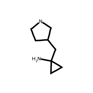 NC1(CC2CC[N]C2)CC1